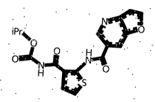 CC(C)OC(=O)NC(=O)c1ccsc1NC(=O)c1cnc2ccoc2c1